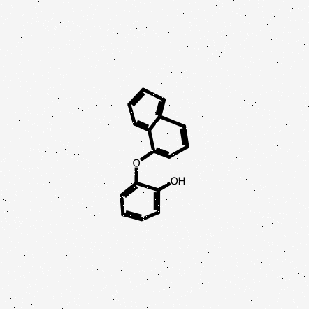 Oc1ccccc1Oc1cccc2ccccc12